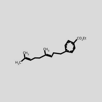 CCOC(=O)c1ccc(CC/C=C(\C)CCC=C(C)C)cc1